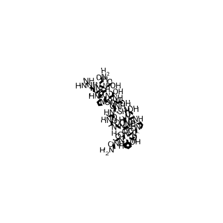 CC(C)C[C@H](NC(=O)[C@@H](NC(=O)[C@@H](NC(=O)[C@H](CS)NC(=O)[C@H](C)NC(=O)[C@H](C)NC(=O)CNC(=O)[C@H](C)NC(=O)[C@H](C)NC(=O)[C@H](CC(=O)O)NC(=O)[C@@H]1CCCN1C(=O)[C@H](C)NC(=O)[C@H](CC(=O)O)NC(=O)[C@H](Cc1ccccc1)NC(=O)[C@H](C)NC(=O)CN)[C@@H](C)O)[C@@H](C)O)C(=O)N1CCC[C@H]1C(=O)N[C@@H](CCCNC(=N)N)C(=O)N[C@@H](CCC(N)=O)C(=O)NCC(=O)O